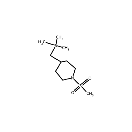 CS(C)(C)CC1CCN(S(C)(=O)=O)CC1